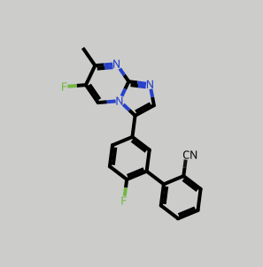 Cc1nc2ncc(-c3ccc(F)c(-c4ccccc4C#N)c3)n2cc1F